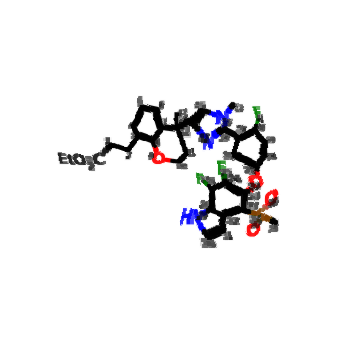 CCOC(=O)CCc1cccc2c1OCCC2(C)c1cn(C)c(-c2cc(Oc3c(F)c(F)c4[nH]ccc4c3S(C)(=O)=O)ccc2F)n1